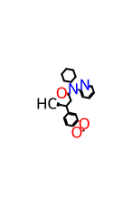 C#CC(CC(=O)N(c1ccccn1)C1CCCCC1)c1ccc2c(c1)OCO2